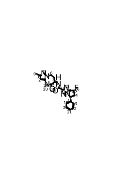 Cc1cc2n(n1)CC[C@H](NC(=O)c1nc3n(n1)[C@H](c1ccccc1)C[C@@H]3F)C(=O)N2C